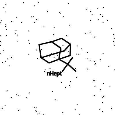 CCCCCCCC(C)(C)C12CC3CC(CC(C3)C1)C2